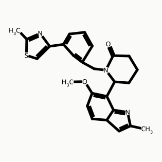 COC1=C(C2CCCC(=O)N2Cc2cccc(-c3csc(C)n3)c2)C2=NC(C)=CC2C=C1